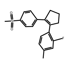 Cc1ccc(C2=C(c3ccc(S(C)(=O)=O)cc3)CCC2)c(F)c1